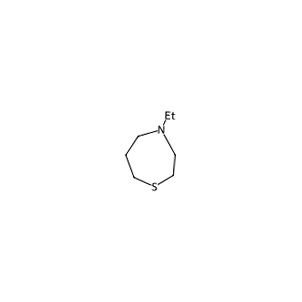 CCN1CCCSCC1